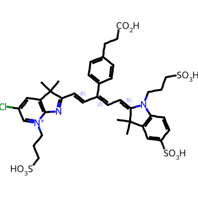 CC1(C)C(/C=C/C(=C/C=C2/N(CCCS(=O)(=O)O)c3ccc(S(=O)(=O)O)cc3C2(C)C)c2ccc(CCC(=O)O)cc2)=Nc2c1cc(Cl)c[n+]2CCCS(=O)(=O)O